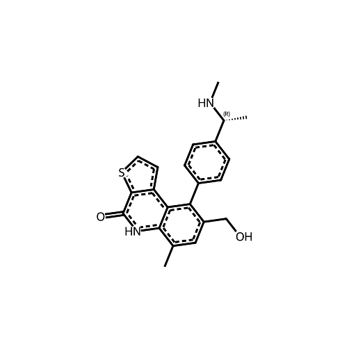 CN[C@H](C)c1ccc(-c2c(CO)cc(C)c3[nH]c(=O)c4sccc4c23)cc1